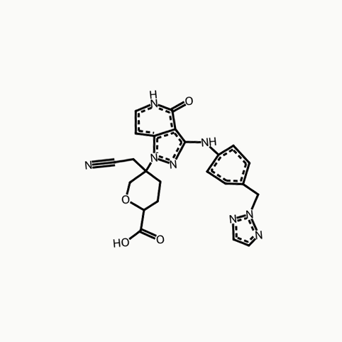 N#CCC1(n2nc(Nc3ccc(Cn4nccn4)cc3)c3c(=O)[nH]ccc32)CCC(C(=O)O)OC1